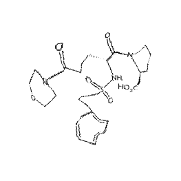 O=C(O)[C@@H]1CCCN1C(=O)[C@@H](CCC(=O)N1CCOCC1)NS(=O)(=O)Cc1ccccc1